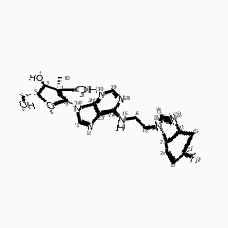 C[C@@]1(O)[C@H](O)[C@@H](CO)O[C@H]1n1cnc2c(NCCn3cnc4cc(F)ccc43)ncnc21